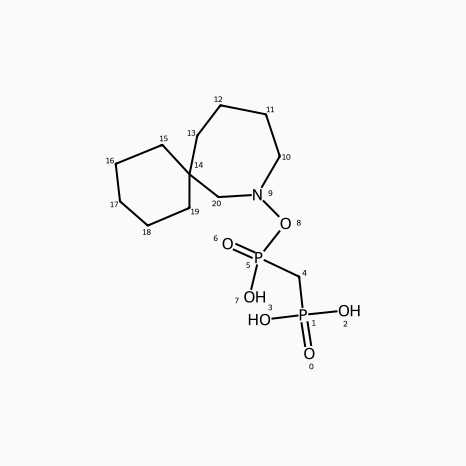 O=P(O)(O)CP(=O)(O)ON1CCCCC2(CCCCC2)C1